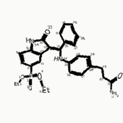 CCOP(=O)(OCC)c1ccc2c(c1)C(=C(Nc1ccc(CCC(N)=O)cc1)c1ccccc1)C(=O)N2